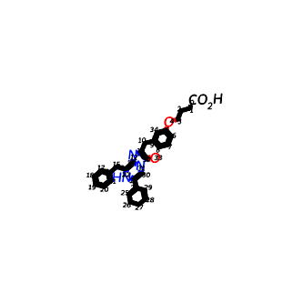 O=C(O)CCCOc1cccc(Cc2nc3c(Cc4ccccc4)[nH]c(C4=CCCC=C4)cn-3c2=O)c1